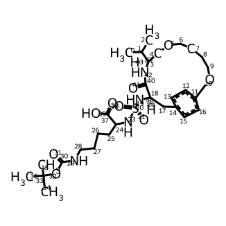 CC(C)[C@H]1COCCCCOc2ccc(cc2)C[C@@H](NS(=O)(=O)NC(CCCCNC(=O)OC(C)(C)C)C(=O)O)C(=O)N1